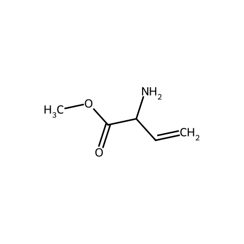 C=CC(N)C(=O)OC